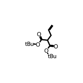 C=CCC(C(=O)OC(C)(C)C)C(=O)OC(C)(C)C